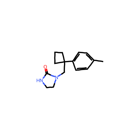 Cc1ccc(C2(CN3CCNC3=O)CCC2)cc1